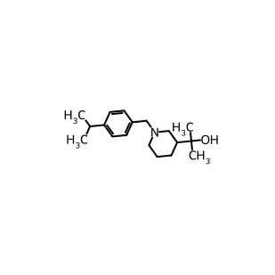 CC(C)c1ccc(CN2CCCC(C(C)(C)O)C2)cc1